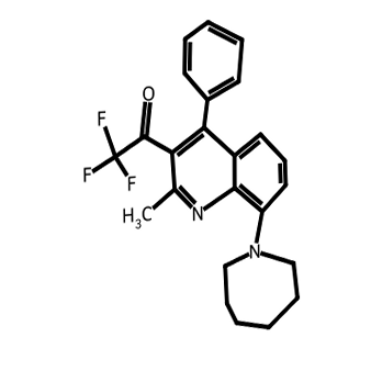 Cc1nc2c(N3CCCCCC3)cccc2c(-c2ccccc2)c1C(=O)C(F)(F)F